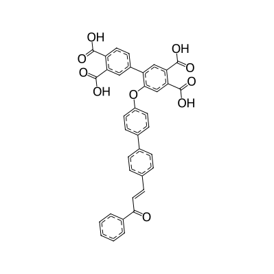 O=C(C=Cc1ccc(-c2ccc(Oc3cc(C(=O)O)c(C(=O)O)cc3-c3ccc(C(=O)O)c(C(=O)O)c3)cc2)cc1)c1ccccc1